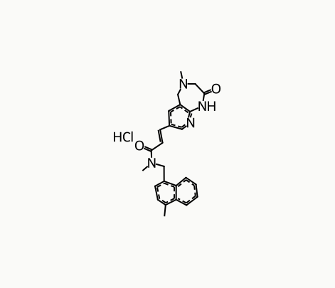 Cc1ccc(CN(C)C(=O)/C=C/c2cnc3c(c2)CN(C)CC(=O)N3)c2ccccc12.Cl